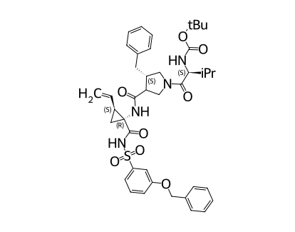 C=C[C@@H]1C[C@]1(NC(=O)C1CN(C(=O)[C@@H](NC(=O)OC(C)(C)C)C(C)C)C[C@H]1Cc1ccccc1)C(=O)NS(=O)(=O)c1cccc(OCc2ccccc2)c1